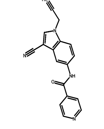 C#CCn1cc(C#N)c2cc(NC(=O)c3ccncc3)ccc21